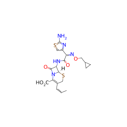 C/C=C\C1=C(C(=O)O)N2C(=O)C(NC(=O)/C(=N\OCC3CC3)c3csc(N)n3)[C@H]2SC1